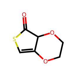 O=C1SC=C2OCCOC12